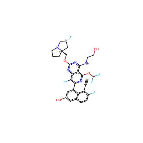 C#Cc1c(F)ccc2cc(O)cc(-c3nc(OC(F)F)c4c(NCCO)nc(OC[C@@]56CCCN5C[C@H](F)C6)nc4c3F)c12